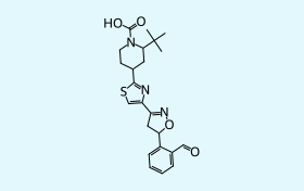 CC(C)(C)C1CC(c2nc(C3=NOC(c4ccccc4C=O)C3)cs2)CCN1C(=O)O